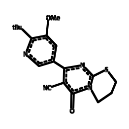 COc1cc(-c2nc3n(c(=O)c2C#N)CCCS3)cnc1C(C)(C)C